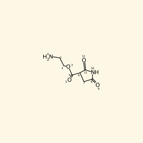 NCCOC(=O)C1CC(=O)NC1=O